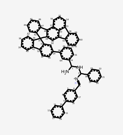 NC(NC(/N=C/c1ccc(-c2ccccc2)cc1)c1ccccc1)c1cccc(-c2ccc3c(c2)C2(c4ccccc4-3)c3ccccc3-c3c2cc2c4c(cccc34)-c3ccccc3-2)c1